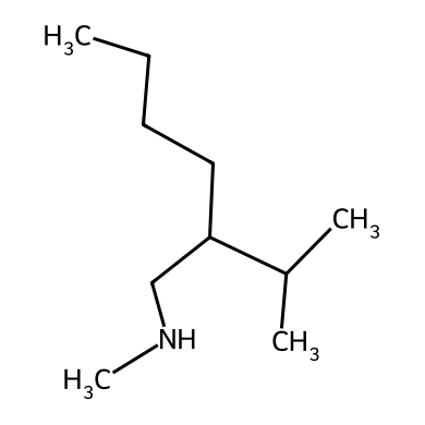 CCCCC(CNC)C(C)C